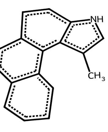 Cc1c[nH]c2ccc3ccc4ccccc4c3c12